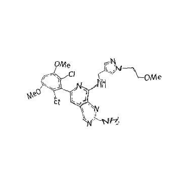 CCc1c(OC)cc(OC)c(Cl)c1-c1cc2cnc(N)nc2c(NCc2cnn(CCOC)c2)n1